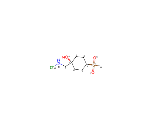 CS(=O)(=O)[C@H]1CC[C@](O)(CNCl)CC1